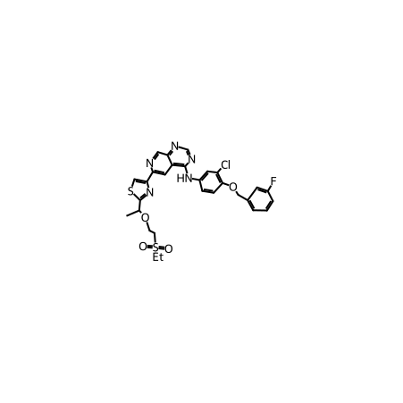 CCS(=O)(=O)CCOC(C)c1nc(-c2cc3c(Nc4ccc(OCc5cccc(F)c5)c(Cl)c4)ncnc3cn2)cs1